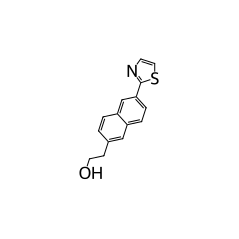 OCCc1ccc2cc(-c3nccs3)ccc2c1